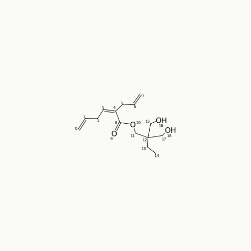 C=CCC=C(CC=C)C(=O)OCC(CC)(CO)CO